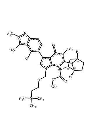 Cc1c2c(Cl)c(-c3cn(COCC[Si](C)(C)C)c4nc(N5[C@H]6CC[C@@H]5[C@H](NC(=O)OC(C)(C)C)C6)n(C)c(=O)c34)ccc2nn1C